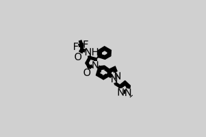 Cn1ccc(Cn2ncc3cc(N4C(=O)CC(NC(=O)C(C)(F)F)[C@H]4c4ccccc4)ccc32)n1